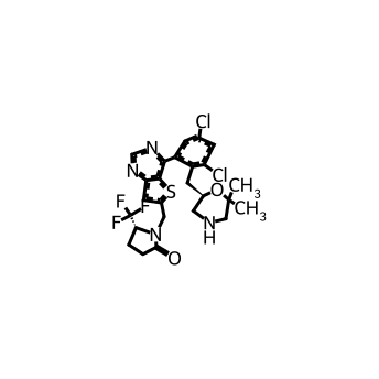 CC1(C)CNC[C@@H](Cc2c(Cl)cc(Cl)cc2-c2ncnc3cc(CN4C(=O)CC[C@@H]4C(F)(F)F)sc23)O1